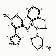 N[C@@H]1CCCN([C@H]2CCc3ccccc3[C@@H]2Oc2ccc(Cl)cc2-c2cc[nH]n2)C1